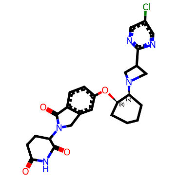 O=C1CCC(N2Cc3cc(O[C@@H]4CCCC[C@@H]4N4CC(c5ncc(Cl)cn5)C4)ccc3C2=O)C(=O)N1